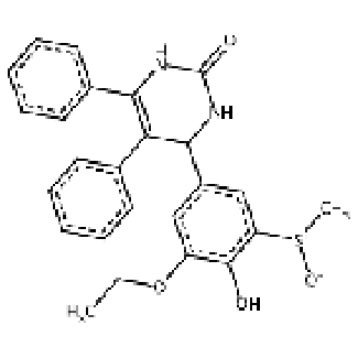 CCOc1cc(C2NC(=O)NC(c3ccccc3)=C2c2ccccc2)cc([S+](C)[O-])c1O